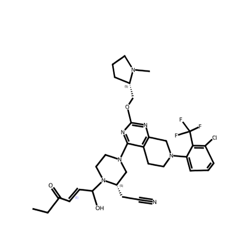 CCC(=O)/C=C/C(O)N1CCN(c2nc(OC[C@@H]3CCCN3C)nc3c2CCN(c2cccc(Cl)c2C(F)(F)F)C3)C[C@@H]1CC#N